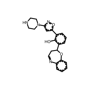 Oc1c(-c2cc(N3CCNCC3)no2)cccc1C1CC=Nc2ccccc2O1